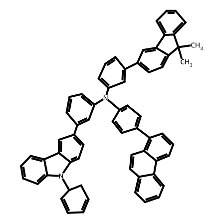 CC1(C)c2ccccc2-c2cc(-c3cccc(N(c4ccc(-c5cccc6c5ccc5ccccc56)cc4)c4cccc(-c5ccc6c(c5)c5ccccc5n6C5C=CC=CC5)c4)c3)ccc21